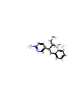 Nc1ccc(C(Cc2ccccc2)C(CS)C(=O)O)cn1